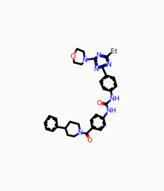 CCc1nc(-c2ccc(NC(=O)Nc3ccc(C(=O)N4CCC(c5ccccc5)CC4)cc3)cc2)nc(N2CCOCC2)n1